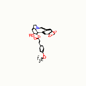 O=C(/C=C/c1ccc(OC(F)(F)F)cc1)O[C@H]1C2c3cc4c(cc3CN3CCC(=C[C@@H]1O)C23)OCO4